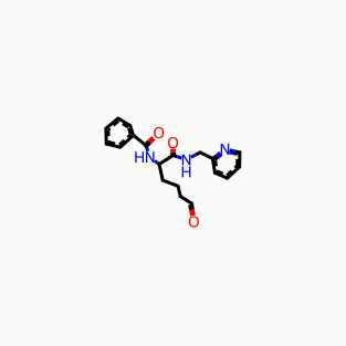 O=CCCCC(NC(=O)c1ccccc1)C(=O)NCc1ccccn1